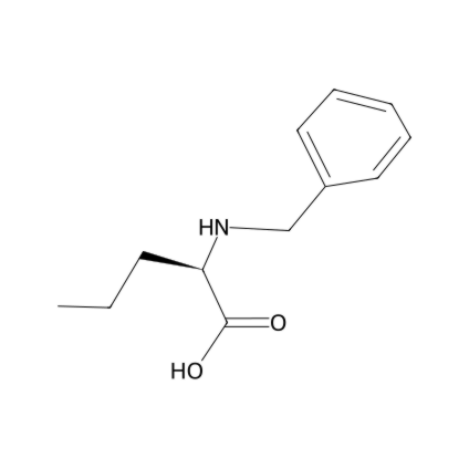 CCC[C@@H](NCc1ccccc1)C(=O)O